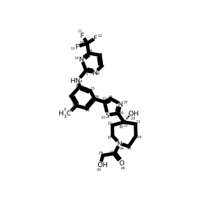 Cc1cc(Nc2nccc(C(F)(F)F)n2)cc(-c2cnc([C@@]3(O)CCCN(C(=O)CO)CC3)s2)c1